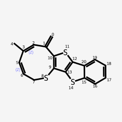 C=C1/C=C(C)\C=C/CSc2c1sc1c2sc2ccccc21